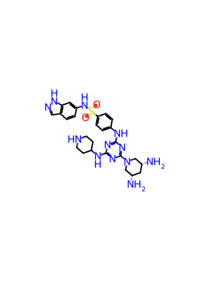 N[C@@H]1C[C@H](N)CN(c2nc(Nc3ccc(S(=O)(=O)Nc4ccc5cn[nH]c5c4)cc3)nc(NC3CCNCC3)n2)C1